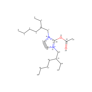 CCCCC(CC)Cn1c#c[n+](CC(CC)CCCC)c1OC(C)=O